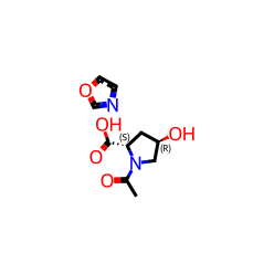 CC(=O)N1C[C@H](O)C[C@H]1C(=O)O.c1cocn1